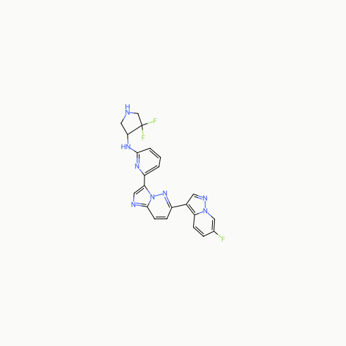 Fc1ccc2c(-c3ccc4ncc(-c5cccc(NC6CNCC6(F)F)n5)n4n3)cnn2c1